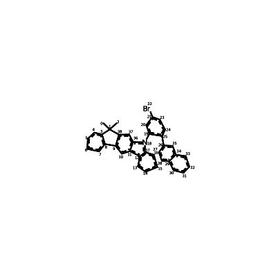 CC1(C)c2ccccc2-c2cc3c4ccccc4n(-c4cc(Br)ccc4-c4ccc5ccccc5c4)c3cc21